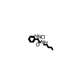 CCCCCNC(=O)C(NCl)c1ccccc1